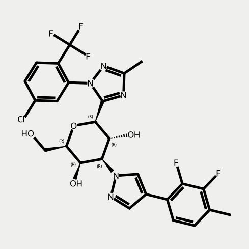 Cc1nc([C@@H]2O[C@H](CO)[C@H](O)[C@H](n3cc(-c4ccc(C)c(F)c4F)cn3)[C@H]2O)n(-c2cc(Cl)ccc2C(F)(F)F)n1